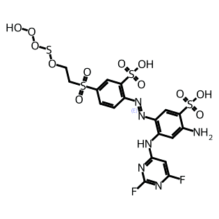 Nc1cc(Nc2cc(F)nc(F)n2)c(/N=N/c2ccc(S(=O)(=O)CCOSOOO)cc2S(=O)(=O)O)cc1S(=O)(=O)O